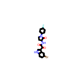 O=C(NC1CCN(c2ccc(F)cc2)C1=O)C(=O)c1c[nH]c2ccc(Br)cc12